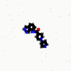 O=C(Nc1cccc2cnncc12)C1CCN(c2ccncc2)CC1